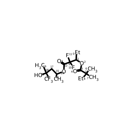 CCC(OC(=O)C(C)(C)CC)C(F)(F)C(=O)OC(C)CC(C)(O)C(F)(F)F